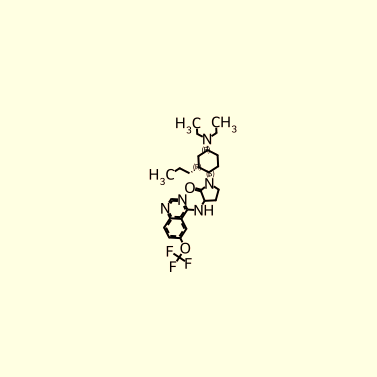 CCC[C@@H]1C[C@H](N(CC)CC)CC[C@@H]1N1CCC(Nc2ncnc3ccc(OC(F)(F)F)cc23)C1=O